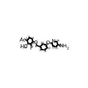 CC(=O)c1ccc(OCc2cccc(Oc3ccc(N)cn3)c2)c(F)c1O